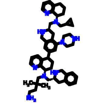 CC(C)(CCN)CN(C[C@H]1Cc2ccccc2CN1)[C@H]1CCC(c2cc3c(c(N4CCNCC4)c2)C[C@H](CN(CC2CC2)[C@H]2CCCc4cccnc42)NC3)c2cccnc21